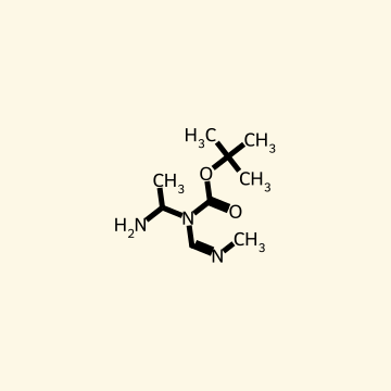 C/N=C\N(C(=O)OC(C)(C)C)C(C)N